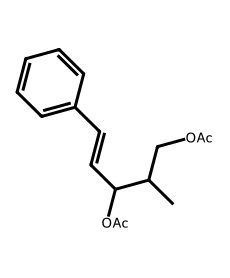 CC(=O)OCC(C)C(C=Cc1ccccc1)OC(C)=O